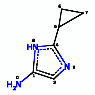 Nc1cnc(C2CC2)[nH]1